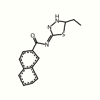 CCC1N[N]C(=NC(=O)c2ccc3ccccc3c2)S1